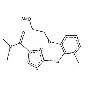 COCCOc1cccc(C)c1Sc1ncn(C(=O)N(C)C)n1